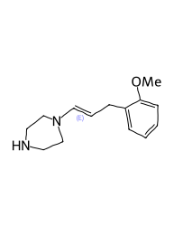 COc1ccccc1C/C=C/N1CCNCC1